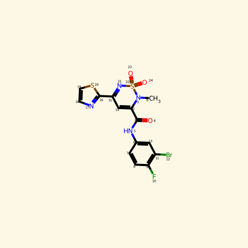 CN1C(C(=O)Nc2ccc(F)c(Br)c2)=CC(c2nccs2)=NS1(=O)=O